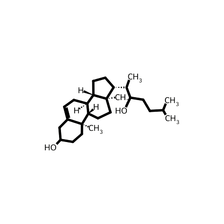 CC(C)CCC(O)C(C)[C@H]1CC[C@H]2[C@@H]3CC=C4CC(O)CC[C@]4(C)[C@H]3CC[C@]12C